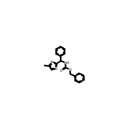 Cc1csc(C(NC(=O)OCc2ccccc2)c2ccccc2)n1